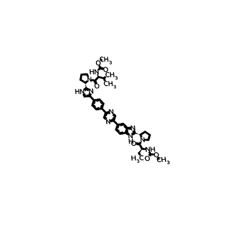 CC[C@H](NC(=O)OC)C(=O)N1CCC[C@H]1c1nc2cc(-c3cnc(-c4ccc(-c5c[nH]c([C@@H]6CCCN6C(=O)[C@@H](NC(=O)OC)C(C)C)n5)cc4)cn3)ccc2[nH]1